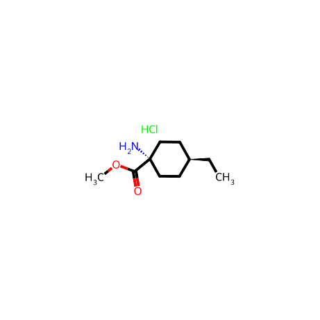 CC[C@H]1CC[C@@](N)(C(=O)OC)CC1.Cl